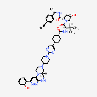 C#Cc1ccc([C@H](C)NC(=O)[C@@H]2C[C@@H](O)CN2C(=O)[C@@H](NC(=O)[C@H]2CC[C@H](c3cnc(N4CCC(N5CCN6c7cc(-c8ccccc8O)nnc7NC[C@H]6C5)CC4)nc3)CC2)C(C)(C)C)cc1